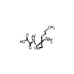 CCCCC1(N)CN[C@H]1NC(=O)C(=O)O